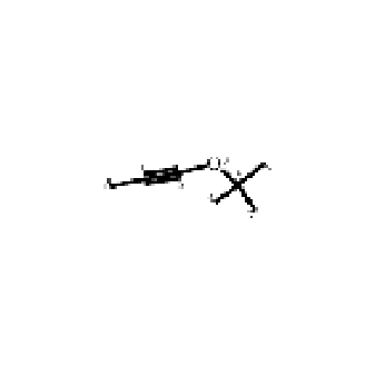 [CH2]C#COC(C)(C)C